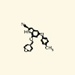 Cc1ccc(Oc2cc(OCC3CCOCC3)c3[nH]c(C#N)cc3c2)cc1